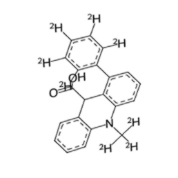 [2H]c1c([2H])c([2H])c(-c2cccc3c2C(C(=O)O)c2ccccc2N3C([2H])([2H])[2H])c([2H])c1[2H]